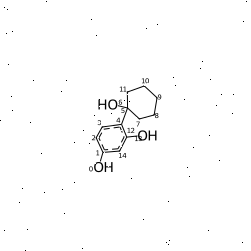 Oc1ccc(C2(O)CCCCC2)c(O)c1